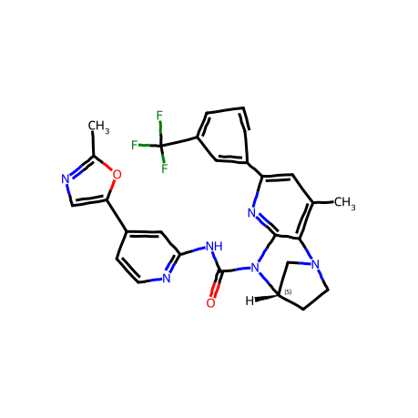 Cc1ncc(-c2ccnc(NC(=O)N3c4nc(-c5cccc(C(F)(F)F)c5)cc(C)c4N4CC[C@H]3C4)c2)o1